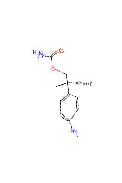 CCCCCC(C)(COC(N)=O)c1ccc(N)cc1